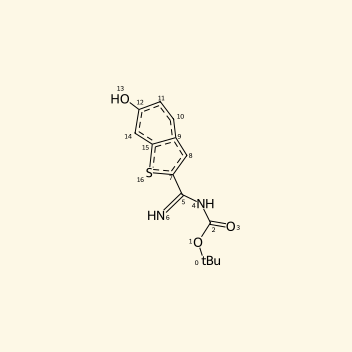 CC(C)(C)OC(=O)NC(=N)c1cc2ccc(O)cc2s1